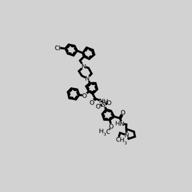 CCN1CCCC1CNC(=O)c1cc(S(=O)(=O)NC(=O)c2ccc(N3CCN(Cc4ccccc4-c4ccc(Cl)cc4)CC3)cc2Oc2ccccc2)ccc1OC